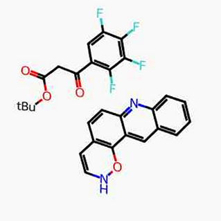 C1=Cc2ccc3nc4ccccc4cc3c2ON1.CC(C)(C)OC(=O)CC(=O)c1cc(F)c(F)c(F)c1F